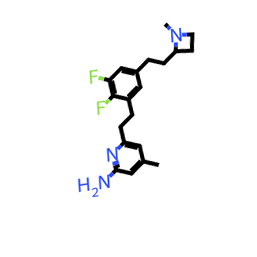 Cc1cc(N)nc(CCc2cc(CCC3CCN3C)cc(F)c2F)c1